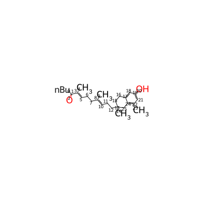 CCCCC(=O)/C(C)=C/CC/C(C)=C/CCC1(C)CCc2cc(O)cc(C)c2C1